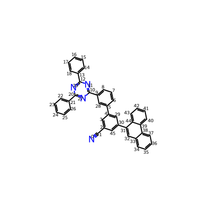 N#Cc1cc(-c2cccc(-c3nc(-c4ccccc4)nc(-c4ccccc4)n3)c2)cc(-c2cc3ccccc3c3ccccc23)c1